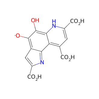 [O]c1c(O)c2[nH]c(C(=O)O)cc(C(=O)O)c2c2nc(C(=O)O)cc12